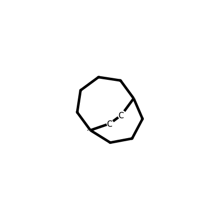 C1CCC2CCC[C](C1)CC2